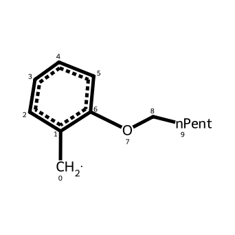 [CH2]c1ccccc1OCCCCCC